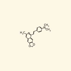 Cc1cc2cc3c(cc2c(C=Cc2ccc(N(C)C)cc2)n1)OCO3